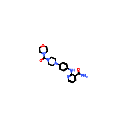 NC(=O)c1cccnc1Nc1ccc(N2CCN(C(=O)N3CCOCC3)CC2)cc1